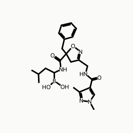 Cc1nn(C)cc1C(=O)NCC1=NOC(Cc2ccccc2)(C(=O)NC(CC(C)C)B(O)O)C1